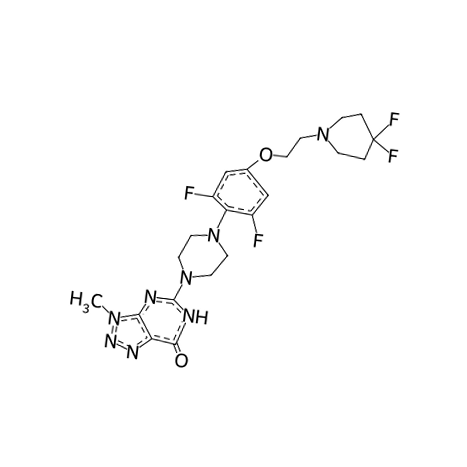 Cn1nnc2c(=O)[nH]c(N3CCN(c4c(F)cc(OCCN5CCC(F)(F)CC5)cc4F)CC3)nc21